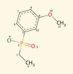 CCP(=O)(Cl)c1cccc(OC)c1